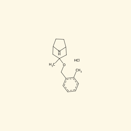 Cc1ccccc1COC1(C)CC2CCC(C1)N2.Cl